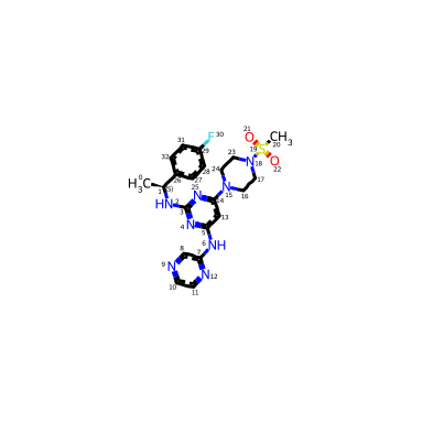 C[C@H](Nc1nc(Nc2cnccn2)cc(N2CCN(S(C)(=O)=O)CC2)n1)c1ccc(F)cc1